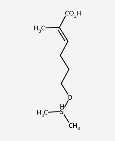 CC(=CCCCO[SiH](C)C)C(=O)O